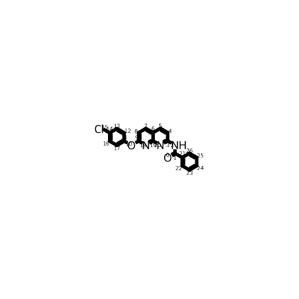 O=C(Nc1ccc2ccc(Oc3ccc(Cl)cc3)nc2n1)c1ccccc1